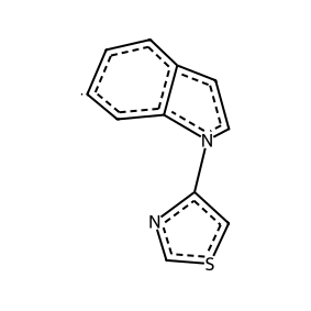 [c]1ccc2ccn(-c3cscn3)c2c1